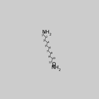 NCCCCCCCCCCCON